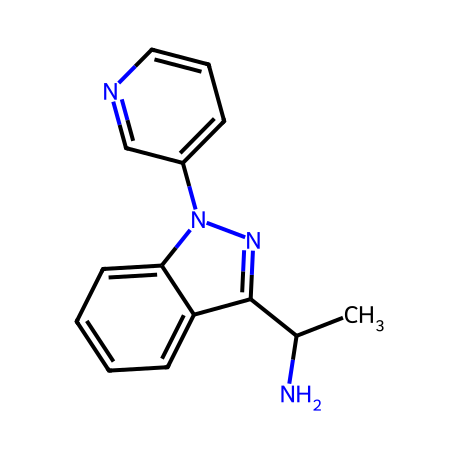 CC(N)c1nn(-c2cccnc2)c2ccccc12